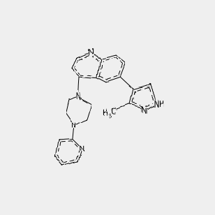 Cc1n[nH]cc1-c1ccc2nccc(N3CCN(c4ccccn4)CC3)c2c1